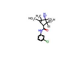 CCC1(CC)C(C(=O)Nc2cccc(Cl)c2)C2C(C(=O)O)C2(C)C1(N)C(=O)O